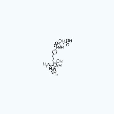 Nc1nc(N)c2c(CCCc3ccc(C(=O)N[C@@H](CCC(=O)O)C(=O)O)cc3)c(O)[nH]c2n1